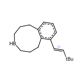 CC(C)(C)/C=C/c1cccc2c1CCCBCCC2